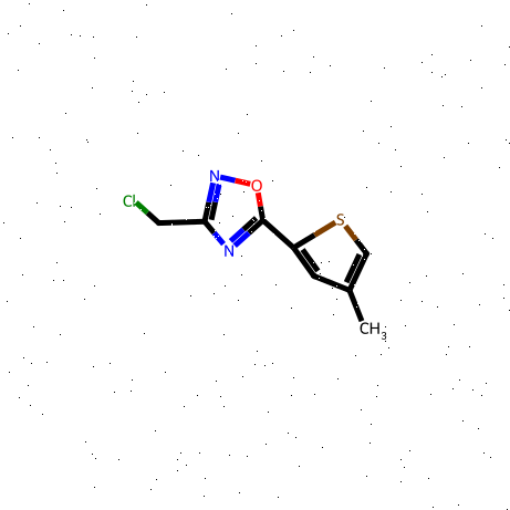 Cc1csc(-c2nc(CCl)no2)c1